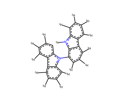 [2H]c1cc2c(c([2H])c1[2H])c1c([2H])c([2H])c([2H])c([2H])c1n2-c1c([2H])c([2H])c([2H])c2c3c([2H])c([2H])c([2H])c([2H])c3n([2H])c12